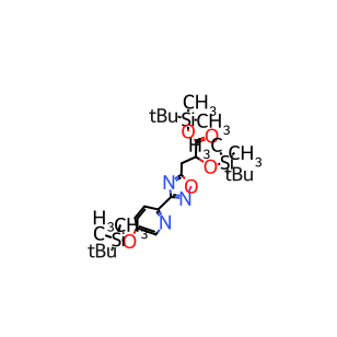 CC(C)(C)[Si](C)(C)OC(=O)C(Cc1nc(-c2ccc(O[Si](C)(C)C(C)(C)C)cn2)no1)O[Si](C)(C)C(C)(C)C